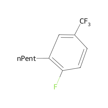 CCCCCc1cc(C(F)(F)F)ccc1F